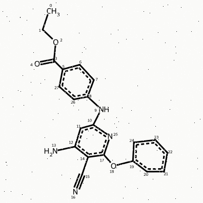 CCOC(=O)c1ccc(Nc2cc(N)c(C#N)c(Oc3ccccc3)n2)cc1